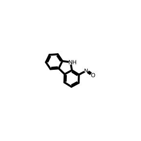 O=Nc1cccc2c1[nH]c1ccccc12